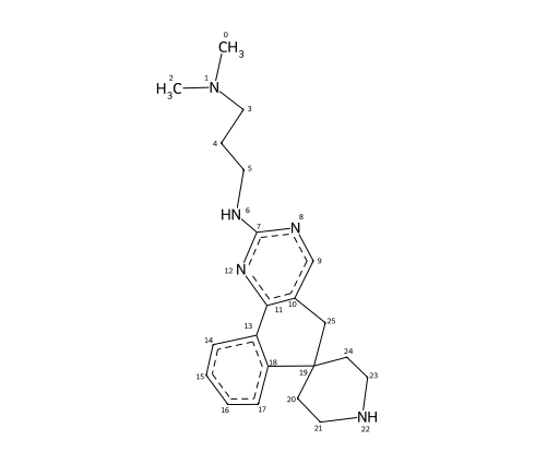 CN(C)CCCNc1ncc2c(n1)-c1ccccc1C1(CCNCC1)C2